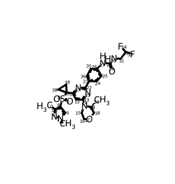 Cc1nn(C)cc1S(=O)(=O)C1(c2cc(N3CCOC[C@@H]3C)nc(-c3ccc(NC(=O)NCC(F)F)cc3)n2)CC1